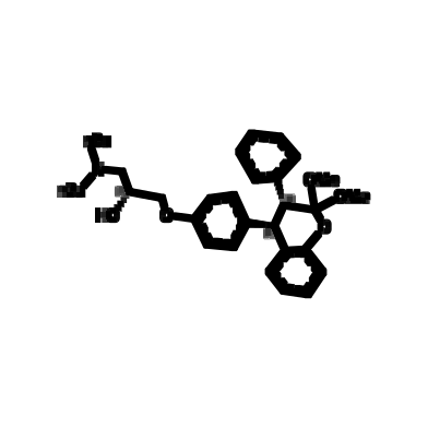 CCCCN(CCCC)C[C@@H](O)COc1ccc([C@@H]2c3ccccc3OC(OC)(OC)[C@H]2c2ccccc2)cc1